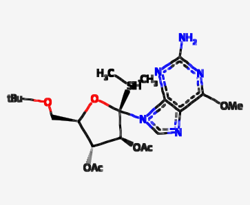 COc1nc(N)nc2c1ncn2[C@@]1([SiH](C)C)O[C@H](COC(C)(C)C)[C@@H](OC(C)=O)[C@@H]1OC(C)=O